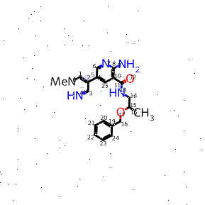 CN/C=C(\C=N)c1cnc(N)c(C(=O)NCC(C)OCc2ccccc2)c1